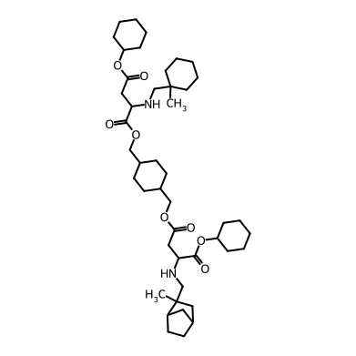 CC1(CNC(CC(=O)OC2CCCCC2)C(=O)OCC2CCC(COC(=O)CC(NCC3(C)CC4CCC3C4)C(=O)OC3CCCCC3)CC2)CCCCC1